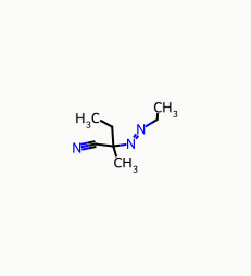 CCN=NC(C)(C#N)CC